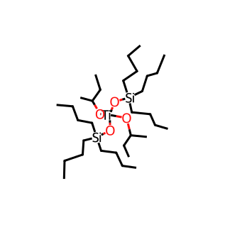 CCCC[Si](CCCC)(CCCC)[O][Ti]([O]C(C)CC)([O]C(C)CC)[O][Si](CCCC)(CCCC)CCCC